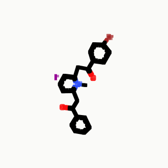 C[n+]1c(CC(=O)c2ccccc2)cccc1CC(=O)c1ccc(Br)cc1.[I-]